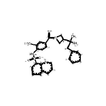 Cc1cc(C(=O)N2CC(C(C)(N)Cc3ccccc3)C2)ccc1NS(=O)(=O)c1cccc2cccnc12